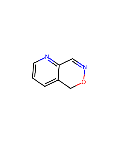 [c]1cnc2c(c1)CON=C2